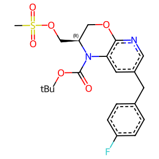 CC(C)(C)OC(=O)N1c2cc(Cc3ccc(F)cc3)cnc2OC[C@@H]1COS(C)(=O)=O